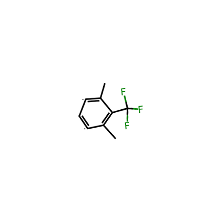 Cc1[c]c[c]c(C)c1C(F)(F)F